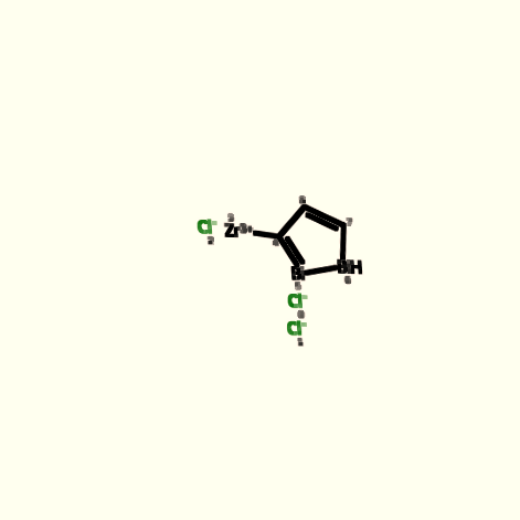 [Cl-].[Cl-].[Cl-].[Zr+3][C]1=[Bi][BiH][CH]=C1